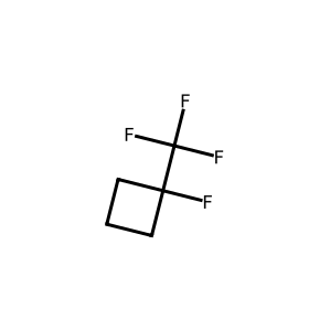 FC(F)(F)C1(F)CCC1